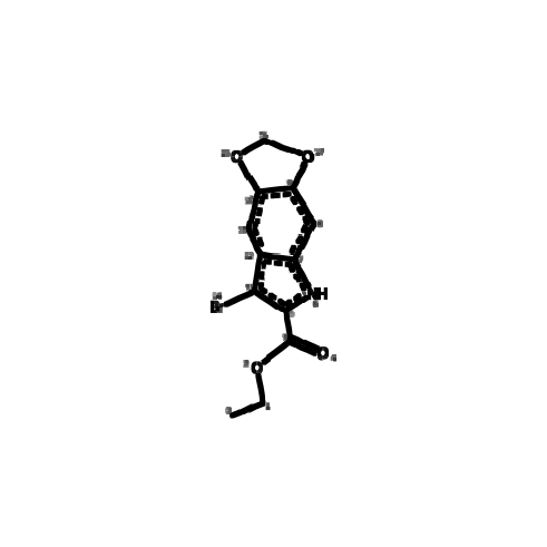 CCOC(=O)c1[nH]c2cc3c(cc2c1Br)OCO3